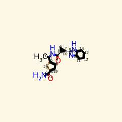 CC(NC(=O)[C@H]1C[C@@H]1c1nc2ccccc2[nH]1)c1ccc(C(N)=O)s1